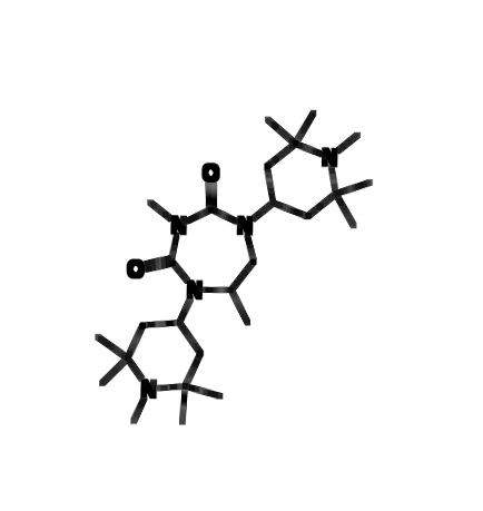 CC1CN(C2CC(C)(C)N(C)C(C)(C)C2)C(=O)N(C)C(=O)N1C1CC(C)(C)N(C)C(C)(C)C1